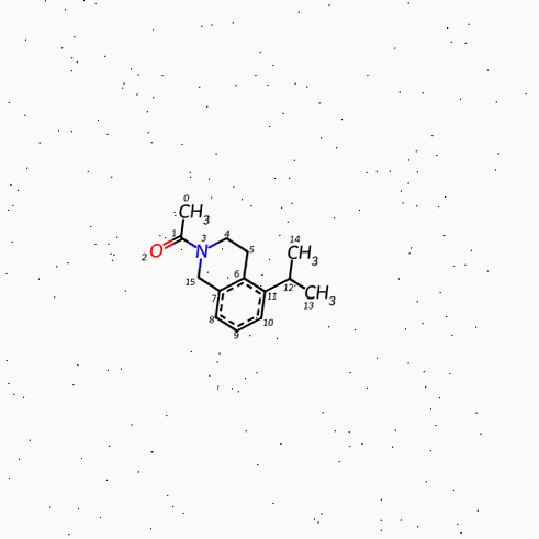 CC(=O)N1CCc2c(cccc2C(C)C)C1